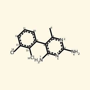 Cc1nc(N)nc(N)c1-c1cccc(Cl)c1Cl